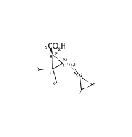 CC1(C)[C@@H](C=C2CC2)[C@@H]1C(=O)O